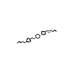 C=CCCOCc1ccc([C@H]2CC[C@H](CCc3ccc(CC/C=C/C)cc3)CC2)cc1